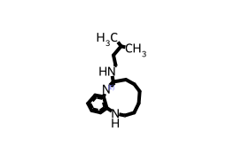 CC(C)CCN/C1=N/c2ccccc2NCCCCCC1